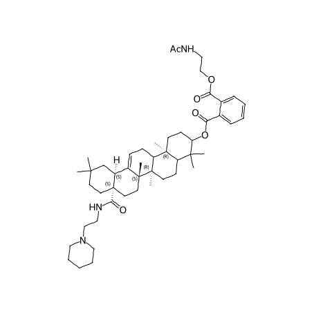 CC(=O)NCCOC(=O)c1ccccc1C(=O)OC1CC[C@@]2(C)C(CC[C@]3(C)C2CC=C2[C@@H]4CC(C)(C)CC[C@]4(C(=O)NCCN4CCCCC4)CC[C@]23C)C1(C)C